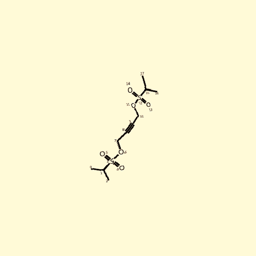 CC(C)S(=O)(=O)OCC#CCOS(=O)(=O)C(C)C